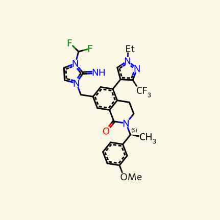 CCn1cc(-c2cc(Cn3ccn(C(F)F)c3=N)cc3c2CCN([C@@H](C)c2cccc(OC)c2)C3=O)c(C(F)(F)F)n1